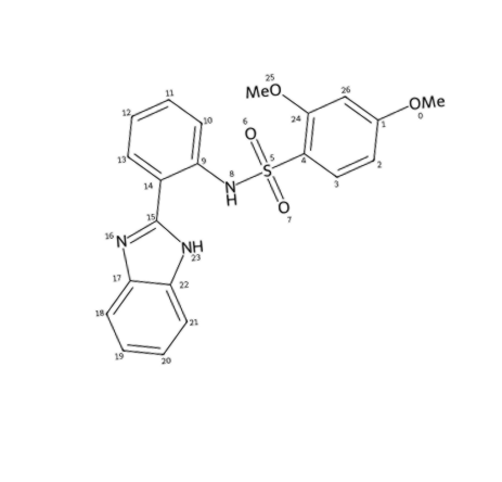 COc1ccc(S(=O)(=O)Nc2ccccc2-c2nc3ccccc3[nH]2)c(OC)c1